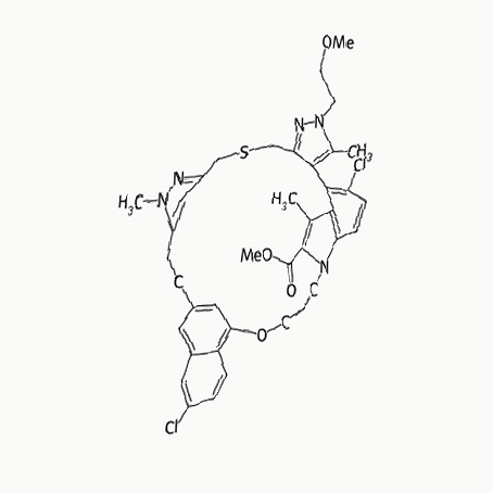 COCCn1nc2c(c1C)-c1c(Cl)ccc3c1c(C)c(C(=O)OC)n3CCCOc1cc(cc3cc(Cl)ccc13)CCc1cc(nn1C)CSC2